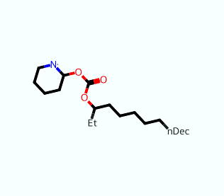 CCCCCCCCCCCCCCCC(CC)OC(=O)OC1CCCC[N]1